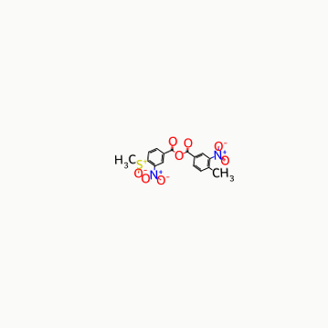 Cc1ccc(C(=O)OC(=O)c2ccc([S+](C)[O-])c([N+](=O)[O-])c2)cc1[N+](=O)[O-]